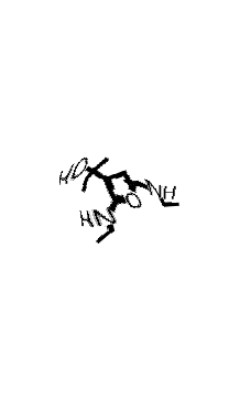 CCNc1cc(C(C)(C)O)c(NCC)o1